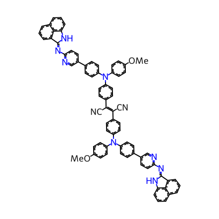 COc1ccc(N(c2ccc(/C(C#N)=C(\C#N)c3ccc(N(c4ccc(OC)cc4)c4ccc(-c5ccc(/N=C6\Nc7cccc8cccc6c78)nc5)cc4)cc3)cc2)c2ccc(-c3ccc(/N=C4\Nc5cccc6cccc4c56)nc3)cc2)cc1